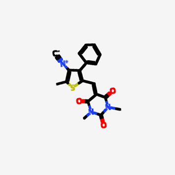 [C-]#[N+]c1c(C)sc(C=C2C(=O)N(C)C(=O)N(C)C2=O)c1-c1ccccc1